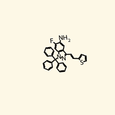 Nc1cc2c(C=Cc3cccs3)nn(C(c3ccccc3)(c3ccccc3)c3ccccc3)c2cc1F